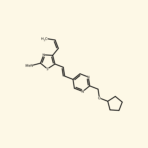 C/C=C\c1nc(NC)sc1/C=C/c1cnc(COC2CCCC2)nc1